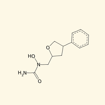 NC(=O)N(O)CC1CC(c2ccccc2)CO1